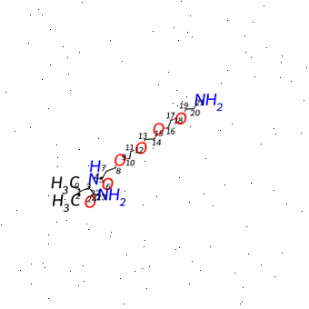 CC(C)C(NC(=O)CCOCCOCCOCCOCCN)C(N)=O